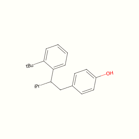 CC(C)[C](Cc1ccc(O)cc1)c1ccccc1C(C)(C)C